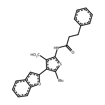 CC(C)(C)c1sc(NC(=O)CCc2ccccc2)c(C(=O)O)c1-c1cc2ccccc2o1